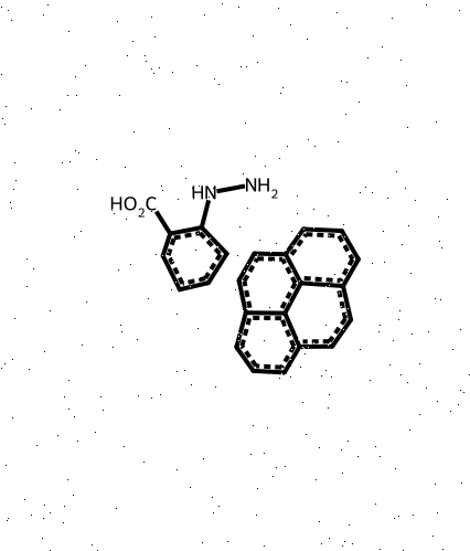 NNc1ccccc1C(=O)O.c1cc2ccc3cccc4ccc(c1)c2c34